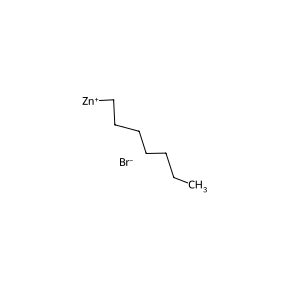 CCCCCC[CH2][Zn+].[Br-]